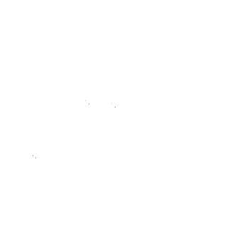 c1ccc(-c2nc(-c3ccc(-c4ccccn4)cc3)cc(-c3ccc(-c4ccc5sc6ccccc6c5c4)c4c3oc3ccccc34)n2)cc1